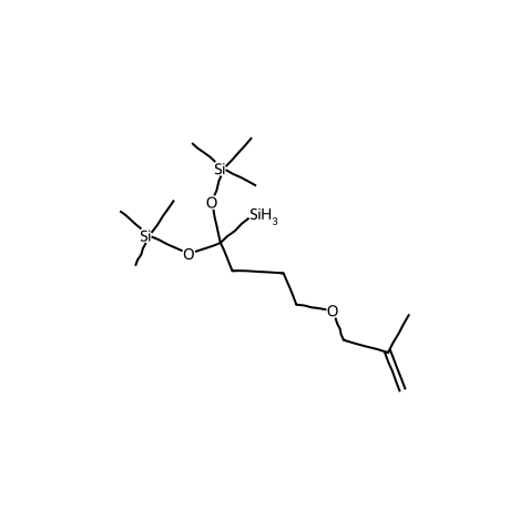 C=C(C)COCCCC([SiH3])(O[Si](C)(C)C)O[Si](C)(C)C